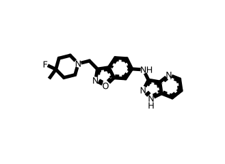 CC1(F)CCN(Cc2noc3cc(Nc4n[nH]c5cccnc45)ccc23)CC1